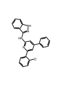 Clc1ccccc1-c1cc(-c2ccccc2)cc(Nc2n[nH]c3ccccc23)n1